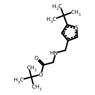 CC(C)(C)OC(=O)CNCc1csc(C(C)(C)C)c1